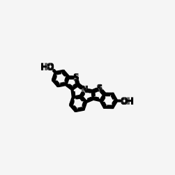 Oc1ccc2c(c1)sc1c2c2cccc3c4c5ccc(O)cc5sc4n1c23